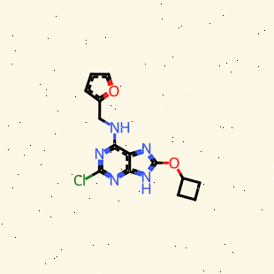 Clc1nc(NCc2ccco2)c2nc(OC3CCC3)[nH]c2n1